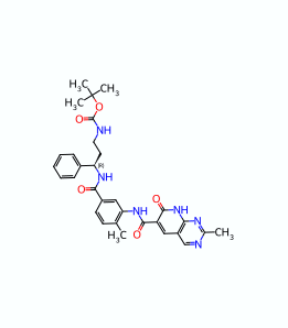 Cc1ncc2cc(C(=O)Nc3cc(C(=O)N[C@H](CCNC(=O)OC(C)(C)C)c4ccccc4)ccc3C)c(=O)[nH]c2n1